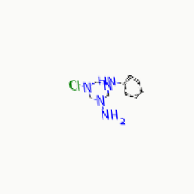 NN1CN(Cl)CN(Nc2ccccc2)C1